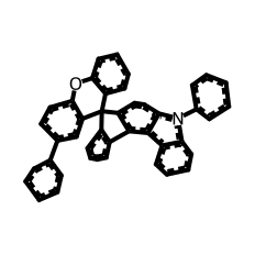 c1ccc(-c2ccc3c(c2)C2(c4ccccc4O3)c3ccccc3-c3c2ccc2c3c3ccccc3n2-c2ccccc2)cc1